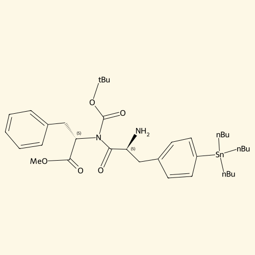 CCC[CH2][Sn]([CH2]CCC)([CH2]CCC)[c]1ccc(C[C@H](N)C(=O)N(C(=O)OC(C)(C)C)[C@@H](Cc2ccccc2)C(=O)OC)cc1